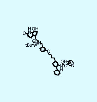 CC(C)(C)[Si](C)(C)OC(CNCc1cccc(OCCCCc2ccc(-c3ccccc3)c(NC(=O)O[C@H]3CN4CCC3CC4)c2)c1)c1ccc(O)c2[nH]c(=O)ccc12